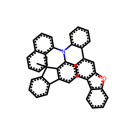 CC1(C)c2ccccc2-c2cccc(N(c3ccccc3-c3ccc4c(c3)oc3ccccc34)c3cccc4ccccc34)c21